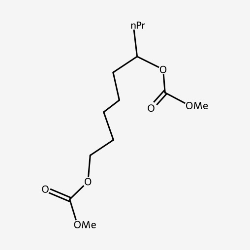 CCCC(CCCCCOC(=O)OC)OC(=O)OC